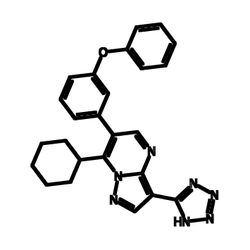 c1ccc(Oc2cccc(-c3cnc4c(-c5nnn[nH]5)cnn4c3C3CCCCC3)c2)cc1